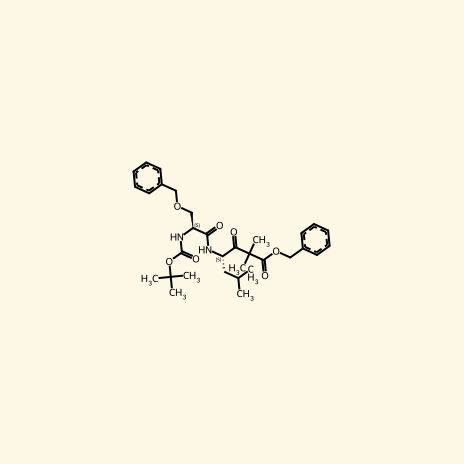 CC(C)C[C@H](NC(=O)[C@H](COCc1ccccc1)NC(=O)OC(C)(C)C)C(=O)C(C)(C)C(=O)OCc1ccccc1